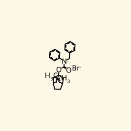 C[N+]1(C)C2CCC1CC(OC(=O)N(Cc1ccccc1)c1ccccc1)C2.[Br-]